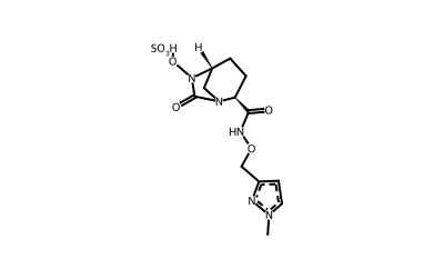 Cn1ccc(CONC(=O)[C@@H]2CC[C@@H]3CN2C(=O)N3OS(=O)(=O)O)n1